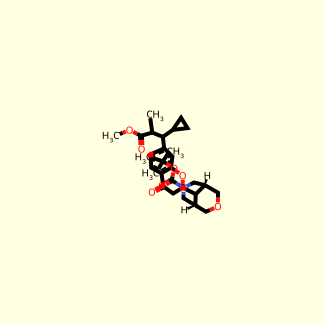 COC(=O)C(C)C(c1ccc2c(c1)OC(C1[C@@H]3COC[C@H]1CN(C(=O)OC(C)(C)C)C3)CC2=O)C1CC1